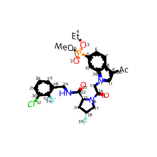 [CH2]OP(=O)(OCC)c1ccc2c(C(C)=O)cn(CC(=O)N3C[C@H](F)C[C@H]3C(=O)NCc3cccc(Cl)c3F)c2c1